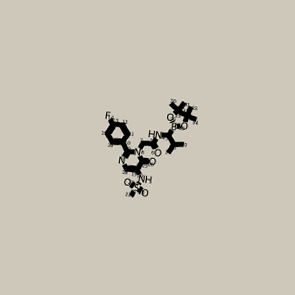 CC(C)C(NC(=O)Cn1c(-c2ccc(F)cc2)ncc(NS(C)(=O)=O)c1=O)B1OC(C)(C)C(C)(C)O1